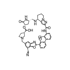 N#Cc1cc(CN2CC[C@@H](C(=O)O)C2)cc2nc(-c3cccc(-c4cccc(NC(=O)c5cc6n(n5)CCCC6NC[C@@H]5CCC(=O)N5)c4Cl)c3Cl)oc12